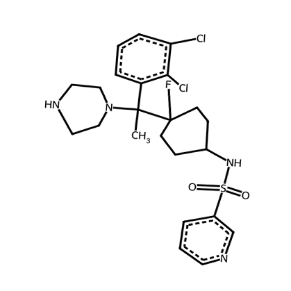 CC(c1cccc(Cl)c1Cl)(N1CCNCC1)C1(F)CCC(NS(=O)(=O)c2cccnc2)CC1